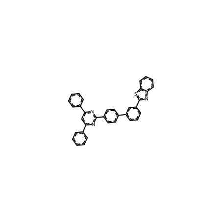 c1ccc(-c2cc(-c3ccccc3)nc(-c3ccc(-c4cccc(-c5nc6ccccc6s5)c4)cc3)n2)cc1